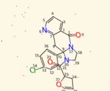 O=C1c2cccnc2CC2(c3ccc(Cl)cc3)N1CCN2C(=O)C1CC=CO1